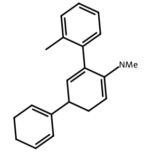 CNC1=CCC(C2=CCCC=C2)C=C1c1ccccc1C